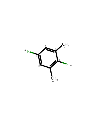 Cc1cc(F)cc(C)c1F